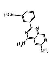 C#Cc1cccc(-c2nc(N)c3cc(N)ncc3n2)c1